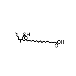 CCCCC=C(C)C(CCCCCCCCCCCCCCCCCCC(=O)O)CC(=O)O